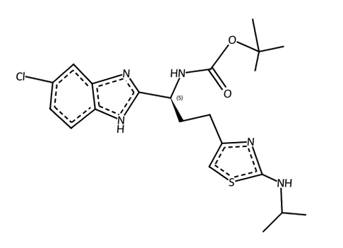 CC(C)Nc1nc(CC[C@H](NC(=O)OC(C)(C)C)c2nc3cc(Cl)ccc3[nH]2)cs1